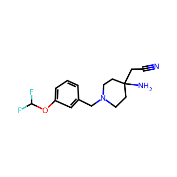 N#CCC1(N)CCN(Cc2cccc(OC(F)F)c2)CC1